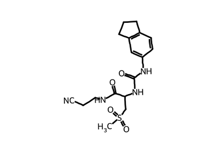 CS(=O)(=O)CC(NC(=O)Nc1ccc2c(c1)CCC2)C(=O)NCCC#N